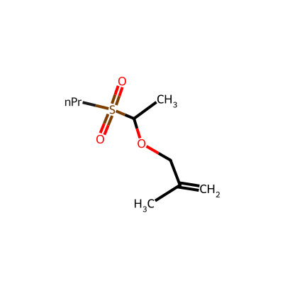 C=C(C)COC(C)S(=O)(=O)CCC